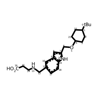 CC(C)(C)C1CCC(OCc2cc3cc(CNCCC(=O)O)ccc3[nH]2)CC1